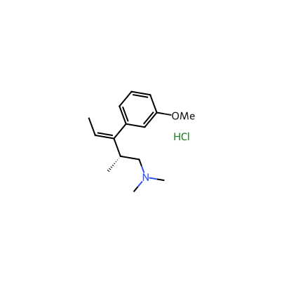 C/C=C(\c1cccc(OC)c1)[C@@H](C)CN(C)C.Cl